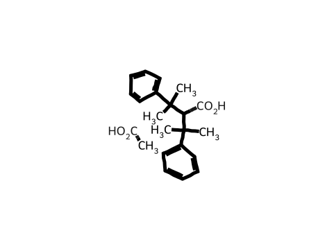 CC(=O)O.CC(C)(c1ccccc1)C(C(=O)O)C(C)(C)c1ccccc1